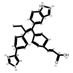 CC/C(=C(/c1ccc(/C=C/C(=O)O)cc1)c1ccc2[nH]ncc2c1)c1ccc(-c2cscn2)cc1